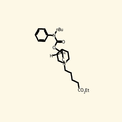 CCCCN(C(=O)O[C@H]1C[N+]2(CCCCC(=O)OCC)CCC1CC2)c1ccccc1